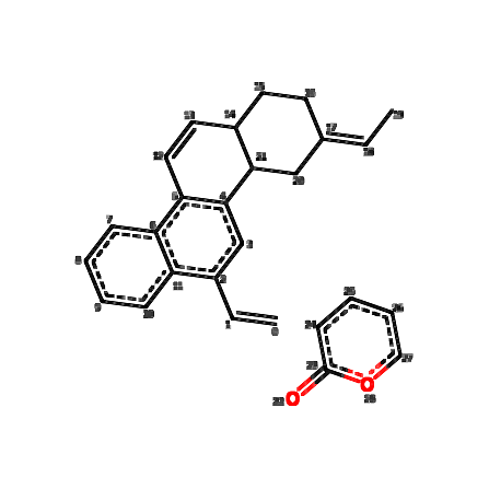 C=Cc1cc2c(c3ccccc13)C=CC1CC/C(=C\C)CC21.O=c1cccco1